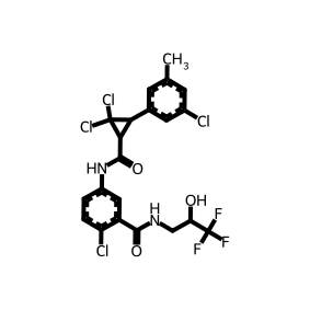 Cc1cc(Cl)cc(C2C(C(=O)Nc3ccc(Cl)c(C(=O)NCC(O)C(F)(F)F)c3)C2(Cl)Cl)c1